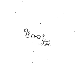 CC(C)(C)OC(=O)N1CC([S+]([O-])c2ccc(-c3ccc(-c4cccc5c4oc4ccccc45)cc3)cc2)CC1C(=O)O